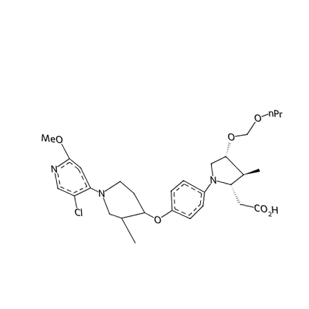 CCCOCO[C@H]1CN(c2ccc(OC3CCN(c4cc(OC)ncc4Cl)CC3C)cc2)[C@@H](CC(=O)O)[C@@H]1C